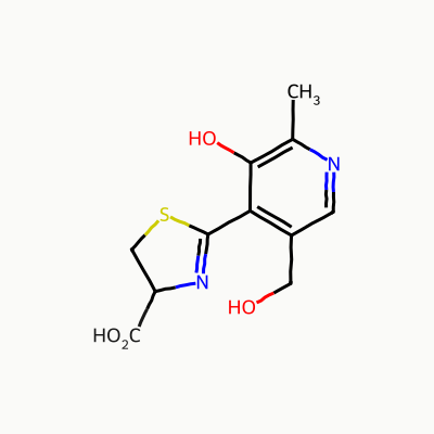 Cc1ncc(CO)c(C2=NC(C(=O)O)CS2)c1O